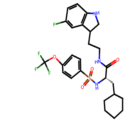 O=C(NCCC1CNc2ccc(F)cc21)[C@H](CC1CCCCC1)NS(=O)(=O)c1ccc(OC(F)(F)F)cc1